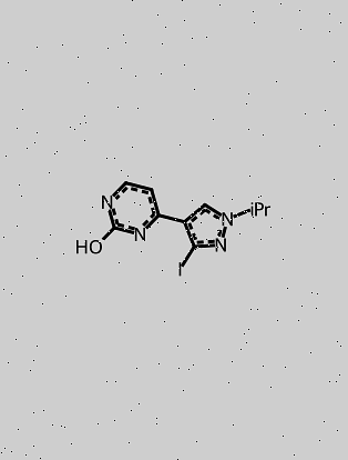 CC(C)n1cc(-c2ccnc(O)n2)c(I)n1